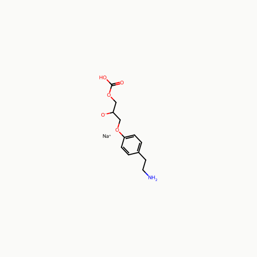 NCCc1ccc(OCC([O-])COC(=O)O)cc1.[Na+]